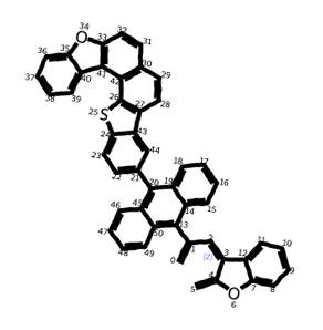 C=C(/C=c1\c(=C)oc2ccccc12)c1c2ccccc2c(-c2ccc3sc4c(ccc5ccc6oc7ccccc7c6c54)c3c2)c2ccccc12